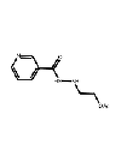 CC(=O)OCCNNC(=O)c1cccnc1